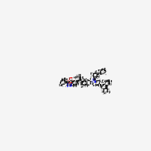 c1ccc(-c2cccc(N(c3ccc(-c4cc5ccccc5c5ccccc45)cc3)c3ccc4ccc(-c5cccc6c5ccc5nc(-c7ccccc7)oc56)cc4c3)c2)cc1